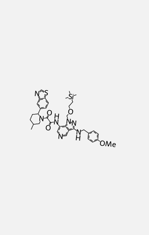 COc1ccc(CNc2nn(COCC[Si](C)(C)C)c3c(NC(=O)C(=O)N4CC(C)CCC4c4ccc5scnc5c4)cncc23)cc1